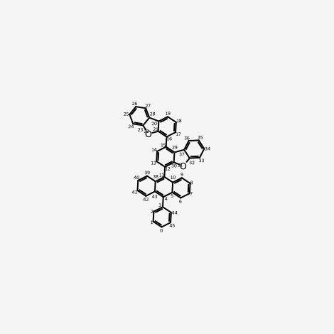 c1ccc(-c2c3ccccc3c(-c3ccc(-c4cccc5c4oc4ccccc45)c4c3oc3ccccc34)c3ccccc23)cc1